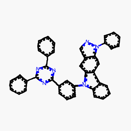 c1ccc(-c2nc(-c3ccccc3)nc(-c3cccc(-n4c5ccccc5c5cc6c(cnn6-c6ccccc6)cc54)c3)n2)cc1